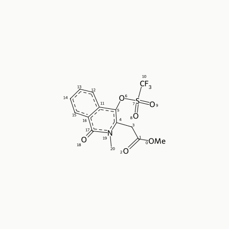 COC(=O)Cc1c(OS(=O)(=O)C(F)(F)F)c2ccccc2c(=O)n1C